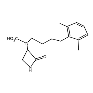 Cc1cccc(C)c1CCCCN(C(=O)O)C1CNC1=O